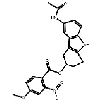 COc1ccc(C(=O)OC2CCc3[nH]c4ccc(NC(C)=O)cc4c3C2)c([N+](=O)[O-])c1